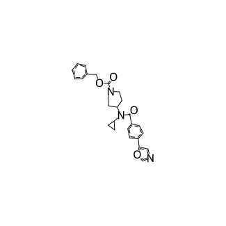 O=C(OCc1ccccc1)N1CCC(N(C(=O)c2ccc(-c3cnco3)cc2)C2CC2)CC1